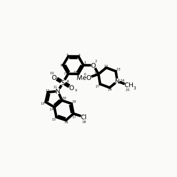 COC1(Oc2cccc(S(=O)(=O)n3ccc4ccc(Cl)cc43)c2)CCN(C)CC1